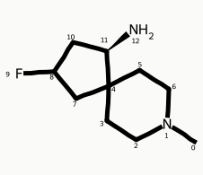 CN1CCC2(CC1)CC(F)C[C@H]2N